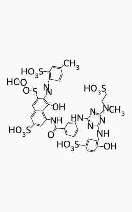 Cc1ccc(/N=N/c2c(SOOO)cc3cc(S(=O)(=O)O)cc(NC(=O)c4cccc(Nc5nc(Nc6cc(S(=O)(=O)O)ccc6O)nc(N(C)CCS(=O)(=O)O)n5)c4)c3c2O)c(S(=O)(=O)O)c1